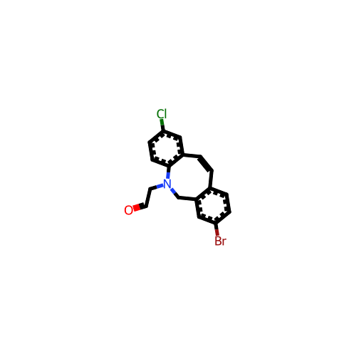 O=CCN1Cc2cc(Br)ccc2/C=C\c2cc(Cl)ccc21